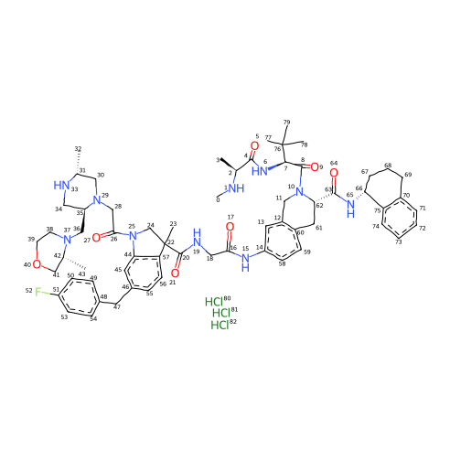 CN[C@@H](C)C(=O)N[C@H](C(=O)N1Cc2cc(NC(=O)CNC(=O)C3(C)CN(C(=O)CN4C[C@@H](C)NC[C@@H]4CN4CCOC[C@H]4C)c4cc(Cc5ccc(F)cc5)ccc43)ccc2C[C@H]1C(=O)N[C@@H]1CCCc2ccccc21)C(C)(C)C.Cl.Cl.Cl